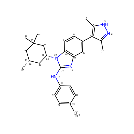 Cc1n[nH]c(C)c1-c1ccc2c(c1)nc(Nc1ccc(C(F)(F)F)cc1)n2[C@@H]1C[C@H](C)CC(C)(C)C1